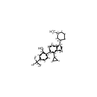 CN1CCC[C@@H](n2cnc3c(C4CC4)c(-c4ccc(C(F)(F)F)cc4O)nnc32)C1